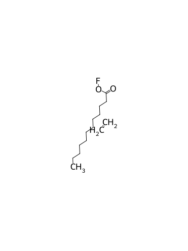 C=C.CCCCCCCCCCCC(=O)OF